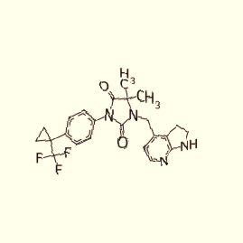 CC1(C)C(=O)N(c2ccc(C3(C(F)(F)F)CC3)cc2)C(=O)N1Cc1ccnc2c1CCN2